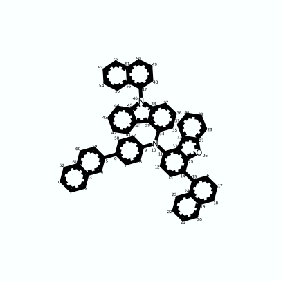 c1ccc2cc(-c3ccc(N(c4ccc(-c5cccc6ccccc56)c5oc6ccccc6c45)c4cccc5c4c4ccccc4n5-c4cccc5ccccc45)cc3)ccc2c1